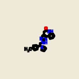 Cc1ccc(C(CNc2ncc3c(n2)-c2ccccc2NC(=O)C3)N2CCCC2)cc1